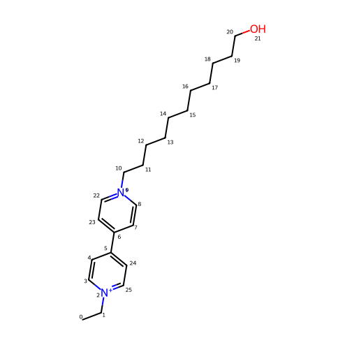 CC[n+]1ccc(-c2cc[n+](CCCCCCCCCCCO)cc2)cc1